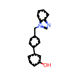 Oc1cccc(-c2ccc(Cn3cnc4ccccc43)cc2)c1